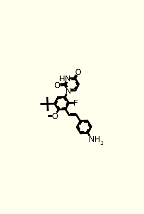 COc1c(C(C)(C)C)cc(-n2ccc(=O)[nH]c2=O)c(F)c1/C=C/c1ccc(N)cc1